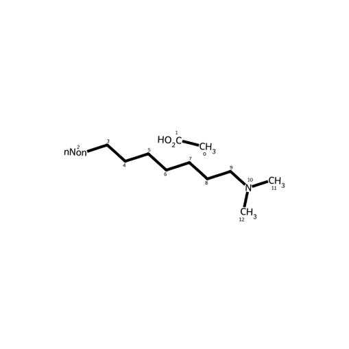 CC(=O)O.CCCCCCCCCCCCCCCCN(C)C